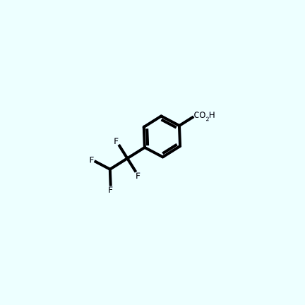 O=C(O)c1ccc(C(F)(F)C(F)F)cc1